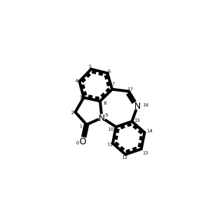 O=C1Cc2cccc3c2N1c1ccccc1N=C3